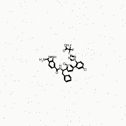 Nc1n[nH]c2cc(C(=O)NC(Cc3ccccc3)c3ccc(-c4cc(Cl)ccc4-n4cnnn4)c[n+]3[O-])ccc12.O=C(O)C(F)(F)F